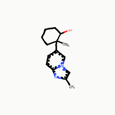 COC1(c2ccc3nc(C)cn3c2)CCCCC1O